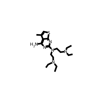 CCN(CC)CCN(CCN(CC)CC)c1nc(N)c2c(C)csc2n1